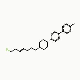 Cc1ccc(-c2ccc([C@H]3CC[C@H](CCCC=CCCF)CC3)cc2)cc1